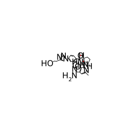 Cc1cc2c(N)noc2c(N2C[C@@H]3CC[C@H]2[C@@H]3NC(=O)c2ccc(-n3cc(CCO)nn3)cc2Cl)n1